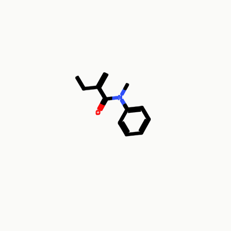 C=C(CC)C(=O)N(C)c1ccccc1